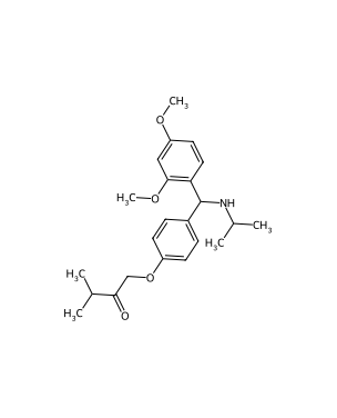 COc1ccc(C(NC(C)C)c2ccc(OCC(=O)C(C)C)cc2)c(OC)c1